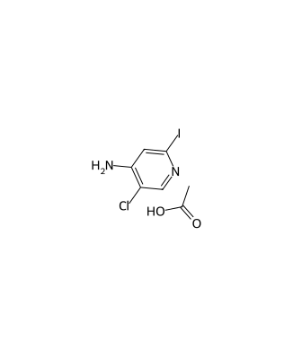 CC(=O)O.Nc1cc(I)ncc1Cl